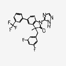 CC1(Cc2cc(F)cc(F)c2)C(=O)N(c2ncn[nH]2)c2ccc(-c3cccc(C(F)(F)F)c3)cc21